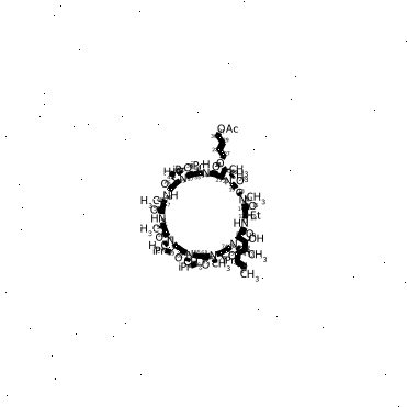 C/C=C/C[C@@H](C)[C@@H](O)[C@@H]1C(=O)N[C@@H](CC)C(=O)N(C)CC(=O)N(C)[C@@H]([C@@H](C)OC/C=C/COC(C)=O)C(=O)N[C@@H](C(C)C)C(=O)N(C)[C@@H](CC(C)C)C(=O)N[C@@H](C)C(=O)N[C@H](C)C(=O)N(C)[C@@H](CC(C)C)C(=O)N(C)[C@@H](CC(C)C)C(=O)N(C)[C@@H](C(C)C)C(=O)N1C